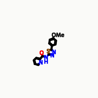 COc1ccc(-c2nnc(NC(=O)c3ccccn3)s2)cc1